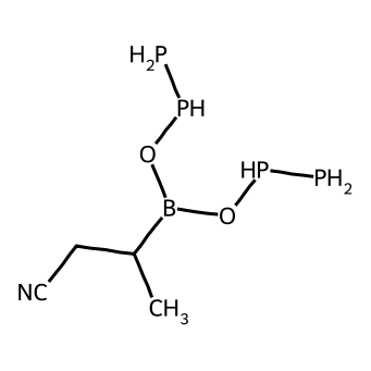 CC(CC#N)B(OPP)OPP